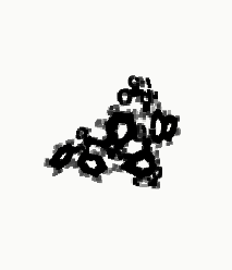 O=C(O)NC[C@@H]1Cc2ccccc2CN1C(=O)c1cc2c(cc1-n1nc(C(=O)N(c3ccccc3)c3ccccc3)c3ccccc31)OCO2